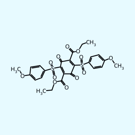 CCOC(=O)C1=C(S(=O)(=O)c2ccc(OC)cc2)C(=O)C(C(=O)OCC)=C(S(=O)(=O)c2ccc(OC)cc2)C1=O